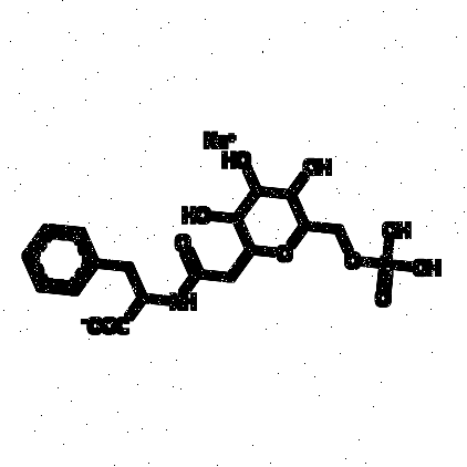 O=C(CC1OC(COP(=O)(O)O)C(O)C(O)C1O)NC(Cc1ccccc1)C(=O)[O-].[Na+]